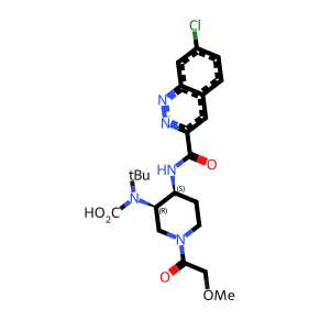 COCC(=O)N1CC[C@H](NC(=O)c2cc3ccc(Cl)cc3nn2)[C@H](N(C(=O)O)C(C)(C)C)C1